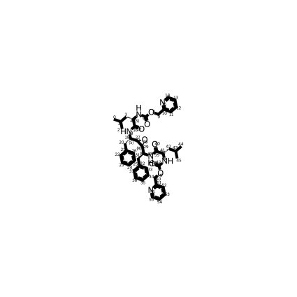 CC(C)C[C@H](NC(=O)OCc1ccccn1)C(=O)N[C@@H](Cc1ccccc1)[C@@H]1O[C@@H]1[C@H](Cc1ccccc1)NC(=O)[C@H](CC(C)C)NC(=O)OCc1ccccn1